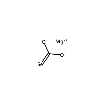 [Mg+2].[O-]C([O-])=[Se]